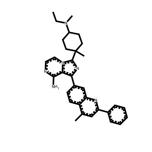 CCN(C)C1CCC(C)(c2nc(-c3ccc4c(C)cc(-c5ccccc5)nc4c3)c3c(N)nccn23)CC1